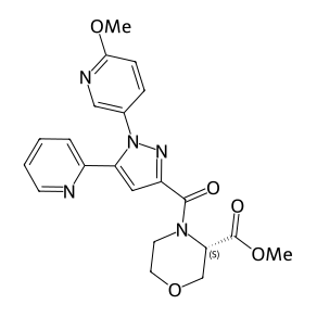 COC(=O)[C@@H]1COCCN1C(=O)c1cc(-c2ccccn2)n(-c2ccc(OC)nc2)n1